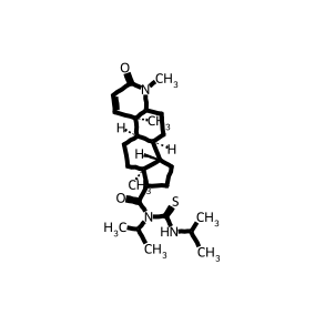 CC(C)NC(=S)N(C(=O)C1CC[C@H]2[C@@H]3CCC4N(C)C(=O)C=C[C@]4(C)[C@@H]3CC[C@]12C)C(C)C